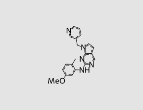 COc1ccc(C)c(Nc2ncc3ccn(Cc4cccnc4)c3n2)c1